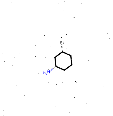 CC[C@@H]1CCC[C@H](N)C1